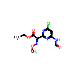 CCOC(=O)C(=NOC)c1nc(Cl)cc(NC=O)n1